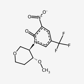 CO[C@@H]1CCOC[C@H]1n1cc(C(F)(F)F)cc([N+](=O)[O-])c1=O